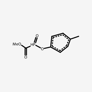 COC(=O)[PH](=O)Oc1ccc(C)cc1